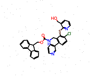 O=C(NCc1c(-c2cccnc2)ccc(Cl)c1Sc1ncccc1CO)OCC1c2ccccc2-c2ccccc21